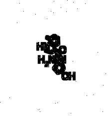 Cc1cccc2c1NCCC2C(=O)n1nc2c(c1N)CCC(O)C2